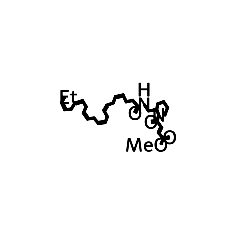 CC/C=C\C/C=C\C/C=C\C/C=C\C/C=C\C/C=C\CCC(=O)NCC1CCCCN1C(=O)/C=C/C(=O)OC